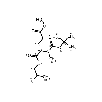 COC(=O)CC[C@@H](C(=O)OCC(C)C)N(C)C(=O)OC(C)(C)C